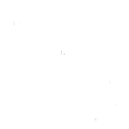 Cc1cc(CNC(=S)/C=C/c2ccc(O)c(O)c2Br)cc(O)c1O